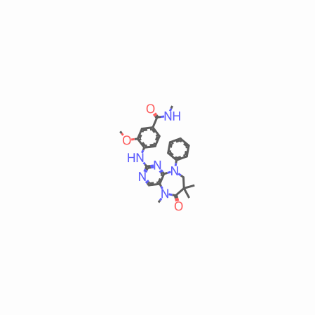 CNC(=O)c1ccc(Nc2ncc3c(n2)N(c2ccccc2)CC(C)(C)C(=O)N3C)c(OC)c1